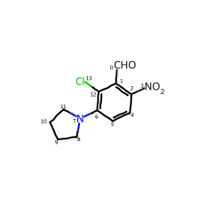 O=Cc1c([N+](=O)[O-])ccc(N2CCCC2)c1Cl